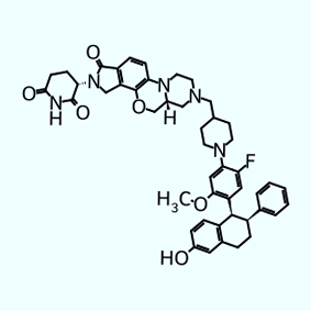 COc1cc(N2CCC(CN3CCN4c5ccc6c(c5OC[C@H]4C3)CN([C@H]3CCC(=O)NC3=O)C6=O)CC2)c(F)cc1[C@@H]1c2ccc(O)cc2CC[C@@H]1c1ccccc1